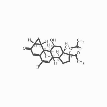 CC(=O)O[C@]1(C(C)=O)CC[C@H]2[C@@H]3C=C(Cl)C4=CC(=O)[C@@H]5C[C@@H]5[C@]4(C)[C@H]3[C@@H](O)C[C@@]21C